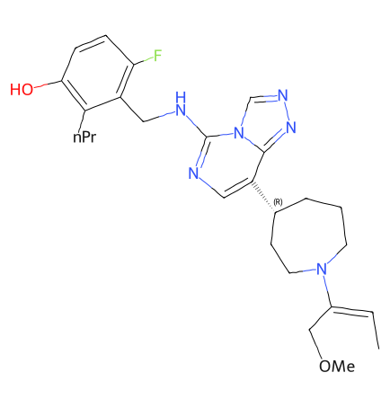 CC=C(COC)N1CCC[C@@H](c2cnc(NCc3c(F)ccc(O)c3CCC)n3cnnc23)CC1